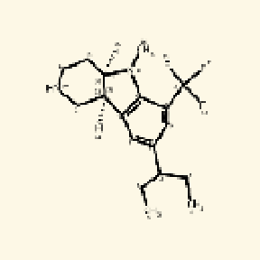 CCC(CC)c1cc2c(c(C(F)(F)F)c1)N(C)[C@@H]1CCNC[C@H]21